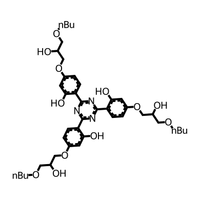 CCCCOCC(O)COc1ccc(-c2nc(-c3ccc(OCC(O)COCCCC)cc3O)nc(-c3ccc(OCC(O)COCCCC)cc3O)n2)c(O)c1